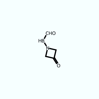 O=CBN1CC(=O)C1